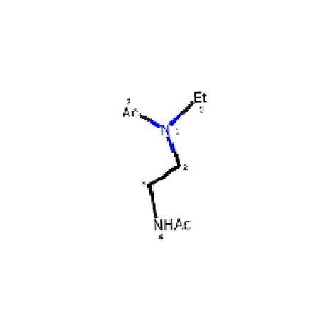 CCN(CCNC(C)=O)C(C)=O